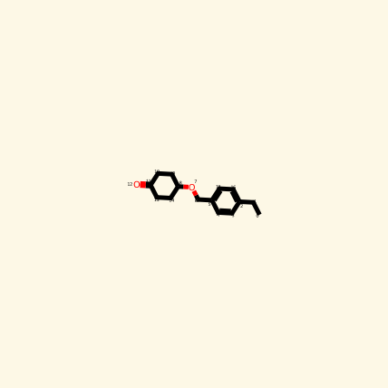 CCc1ccc(COC2CCC(=O)CC2)cc1